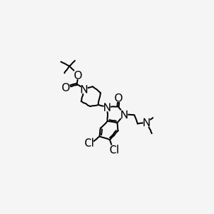 CN(C)CCn1c(=O)n(C2CCN(C(=O)OC(C)(C)C)CC2)c2cc(Cl)c(Cl)cc21